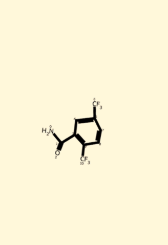 NC(=O)c1cc(C(F)(F)F)ccc1C(F)(F)F